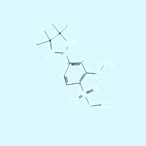 CC(C)(C)NS(=O)(=O)c1ccc(B2OC(C)(C)C(C)(C)O2)cc1OC(F)(F)F